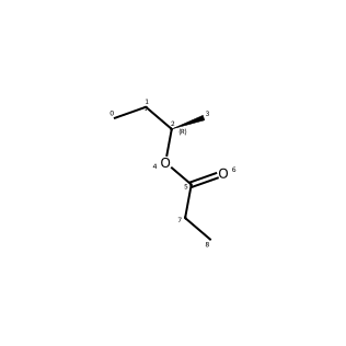 C[CH][C@@H](C)OC(=O)CC